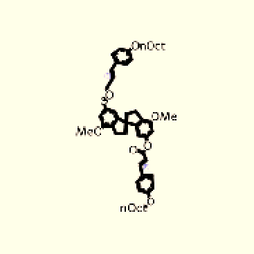 CCCCCCCCOc1ccc(/C=C/COOc2cc(OC)c3c(c2)C2(CC3)CCc3c(OC)cc(OC(=O)/C=C/c4ccc(OCCCCCCCC)cc4)cc32)cc1